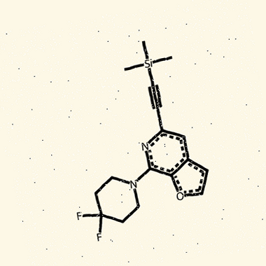 C[Si](C)(C)C#Cc1cc2ccoc2c(N2CCC(F)(F)CC2)n1